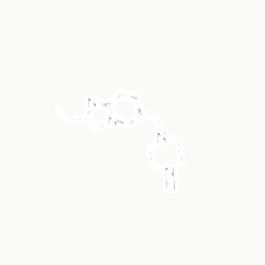 CCc1cn2cc(CN3CCNCC3)ccc2n1